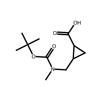 CN(CC1CC1C(=O)O)C(=O)OC(C)(C)C